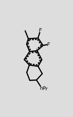 CCCC1CCc2cc3cc(C)c(F)c(F)c3cc2C1